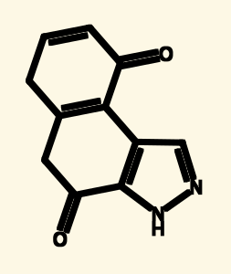 O=C1C=CCC2=C1c1cn[nH]c1C(=O)C2